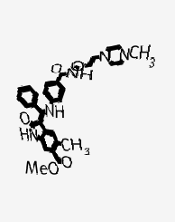 COC(=O)c1cc2c(cc1C)C(=C(Nc1ccc(C(=O)NOCCN3CCN(C)CC3)cc1)c1ccccc1)C(=O)N2